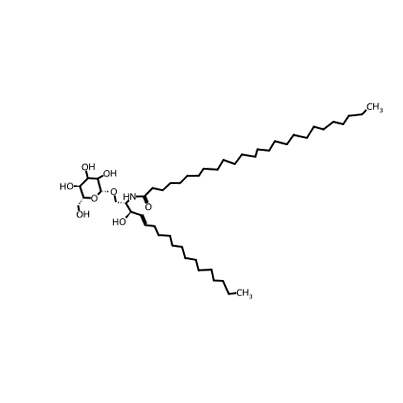 CCCCCCCCCCCCC/C=C/[C@@H](O)[C@H](CO[C@@H]1O[C@H](CO)[C@@H](O)C(O)C1O)NC(=O)CCCCCCCCCCCCCCCCCCCCCCCCC